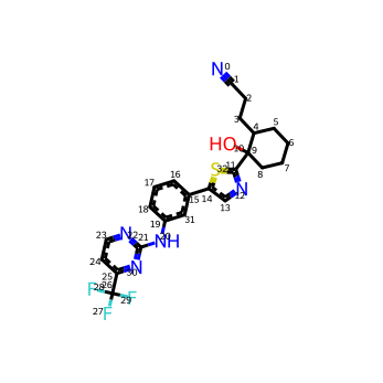 N#CCCC1CCCCC1(O)c1ncc(-c2cccc(Nc3nccc(C(F)(F)F)n3)c2)s1